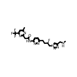 CNCc1cn(C[C@H](F)CCc2ccc(NC(=O)Cc3nc(C)cc(C(F)(F)F)n3)nn2)nn1